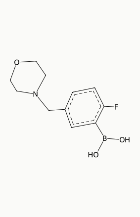 OB(O)c1cc(CN2CCOCC2)ccc1F